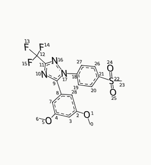 COc1cc(OC)cc(-c2nc(C(F)(F)F)nn2-c2ccc(S(C)(=O)=O)cc2)c1